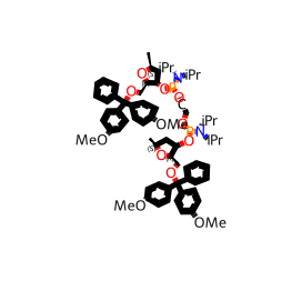 COc1ccc(C(OC[C@H]2O[C@@H](C)CC2OP(OCCOP(OC2C[C@H](C)O[C@@H]2COC(c2ccccc2)(c2ccc(OC)cc2)c2ccc(OC)cc2)N(C(C)C)C(C)C)N(C(C)C)C(C)C)(c2ccccc2)c2ccc(OC)cc2)cc1